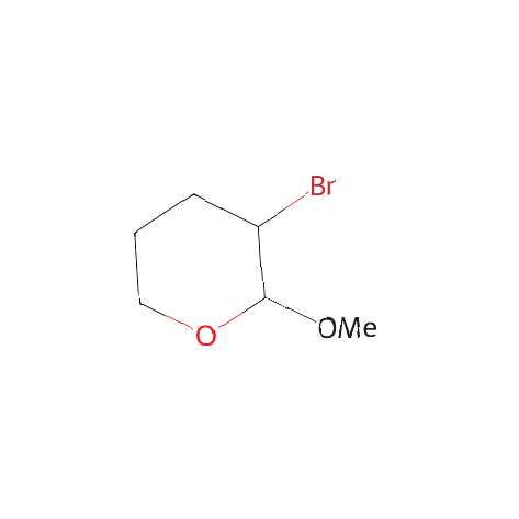 COC1OCCCC1Br